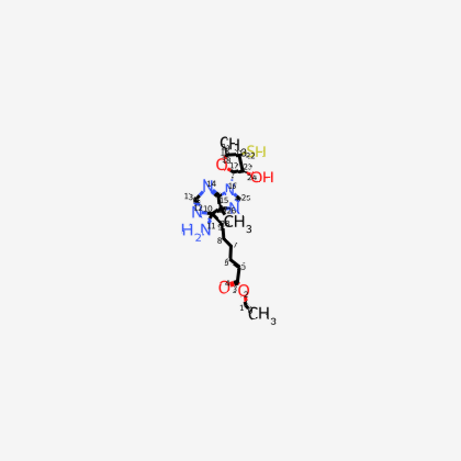 CCOC(=O)CCCCCC1(N)N=CN=C2N([C@@H]3O[C@H](C)[C@@H](S)[C@H]3O)C=NC21C